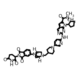 CN(C)C(=O)c1cc2cnc(Nc3ccc(N4CCC(CN5C[C@@H]6C[C@H]5CN6c5ccc6c(c5)C(=O)N(C5CCC(=O)NC5=O)C6=O)CC4)cn3)nc2n1C1CCCC1